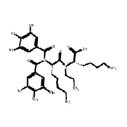 NCCCC[C@@H](C(=O)O)N(CCN)C(=O)[C@H](CCCCN)N(C(=O)c1cc(O)c(O)c(O)c1)C(=O)c1cc(O)c(O)c(O)c1